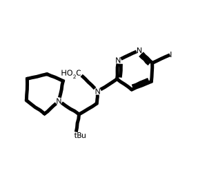 CC(C)(C)C(CN(C(=O)O)c1ccc(I)nn1)N1CCCCC1